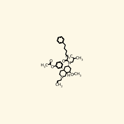 C=CCN1CC[C@@]2(c3cccc(OC(C)=O)c3)C[C@H](N(CC(C)C)C(=O)CCCCCc3ccccc3)CC(OC)[C@@H]2C1